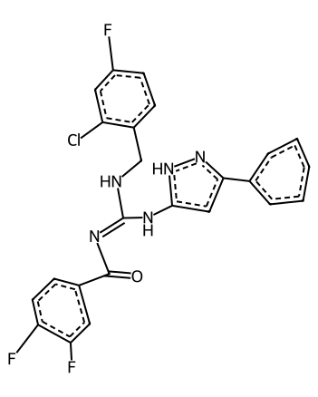 O=C(/N=C(/NCc1ccc(F)cc1Cl)Nc1cc(-c2ccccc2)n[nH]1)c1ccc(F)c(F)c1